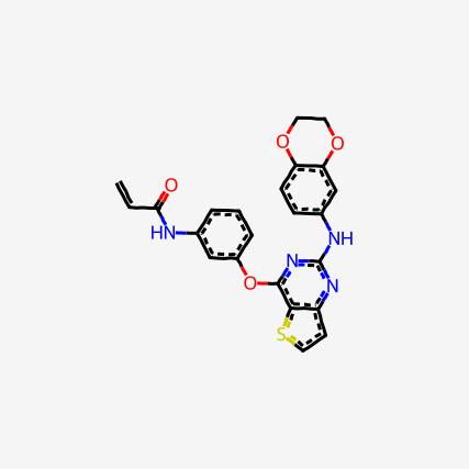 C=CC(=O)Nc1cccc(Oc2nc(Nc3ccc4c(c3)OCCO4)nc3ccsc23)c1